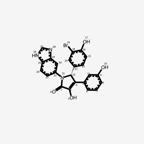 O=C1C(O)=C(c2cccc(O)c2)[C@@H](c2ccc(O)c(Br)c2)N1c1ccc2[nH]cnc2c1